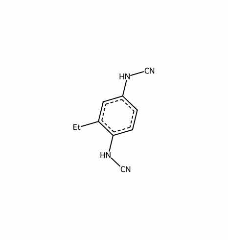 CCc1cc(NC#N)ccc1NC#N